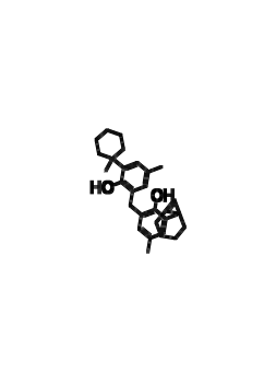 Cc1cc(Cc2cc(C)cc(C34C=C3CCCC4)c2O)c(O)c(C2(C)CCCCC2)c1